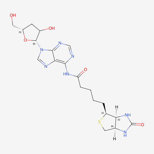 O=C(CCCC[C@@H]1SC[C@@H]2NC(=O)N[C@@H]21)Nc1ncnc2c1ncn2[C@@H]1O[C@H](CO)CC1O